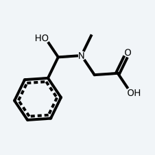 CN(CC(=O)O)C(O)c1ccccc1